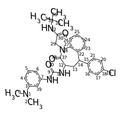 CN(C)c1cccc(NC(=O)NC2CC(c3ccc(Cl)cc3)c3ccccc3N(CC(=O)NC(C)(C)C)C2=O)c1